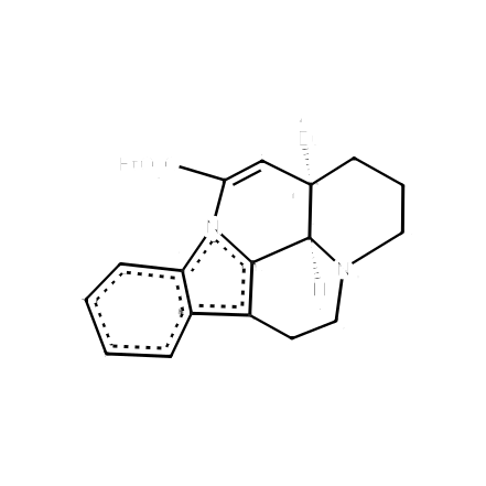 CCOC(=O)C1=C[C@@]2(CC)CCCN3CCc4c(n1c1ccccc41)[C@H]32